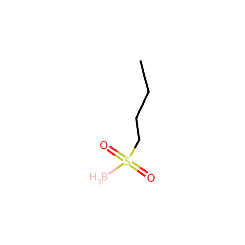 BS(=O)(=O)CCCC